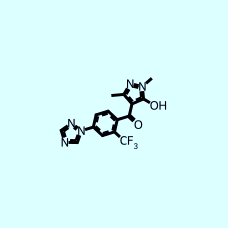 Cc1nn(C)c(O)c1C(=O)c1ccc(-n2cncn2)cc1C(F)(F)F